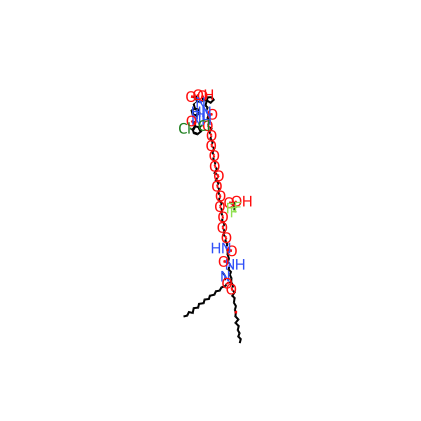 CCCCCCCCCCCCCCCCOCC(CC(CCNC(=O)CCC(=O)NCCOCCOCCOCCOCCOCCOCCOCCOCCOCCOCCOCCOCCC(=O)NCCC1(C(=O)N[C@@H](Cc2ccc(NC(=O)c3c(Cl)cccc3Cl)cc2)C(=O)O)CCCC1)N(C)C)OCCCCCCCCCCCCCCCC.O=C(O)C(F)(F)F